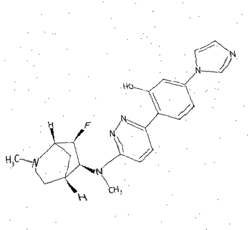 CN1C[C@@H]2C[C@H]1[C@@H](F)[C@H]2N(C)c1ccc(-c2ccc(-n3ccnc3)cc2O)nn1